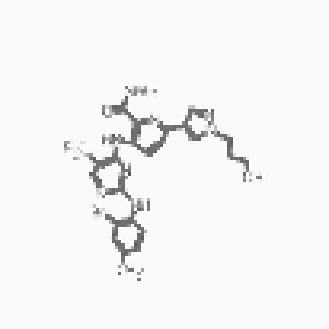 [CH2]c1ccc(Nc2ncc(C(F)(F)F)c(Nc3ccc(-c4cnn(CCCO)c4)nc3C(=O)NC)n2)c(Br)c1